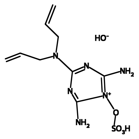 C=CCN(CC=C)c1nc(N)[n+](OS(=O)(=O)O)c(N)n1.[OH-]